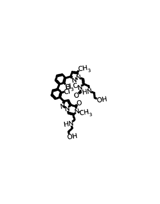 Cc1cc(-c2cccc(-c3cccc(-c4cc5c(=O)n(C)c(CNCCO)cn5n4)c3Cl)c2Cl)nn1/C=C(/CNCCO)N(C)C=O